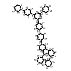 c1ccc(-c2ccc(-c3cc(-c4ccc(-c5ccc(-c6ccc7c(c6)c6cccc(-c8ccccc8)c6n7-c6ccccc6)cc5)cc4)nc(-c4ccccc4)n3)cc2)cc1